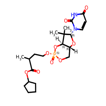 CC(CCO[P@@]1(=O)OC[C@H]2O[C@@H](n3ccc(=O)[nH]c3=O)C(C)(C)[C@@H]2O1)C(=O)OC1CCCC1